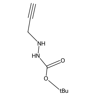 C#CCNNC(=O)OC(C)(C)C